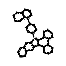 c1ccc2cc3c(cc2c1)c1c2ccccc2c2ccccc2c1n3-c1ccc(-c2cccc3ccccc23)cc1